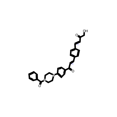 O=C(/C=C/c1ccc(/C=C/C(=O)c2ccc(N3CCN(C(=O)c4ccccc4)CC3)cc2)cc1)CO